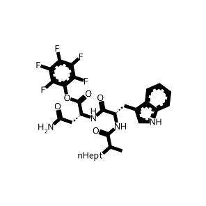 CCCCCCCC(C)C(=O)N[C@@H](Cc1c[nH]c2ccccc12)C(=O)N[C@H](CC(N)=O)C(=O)Oc1c(F)c(F)c(F)c(F)c1F